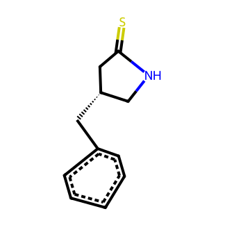 S=C1C[C@@H](Cc2ccccc2)CN1